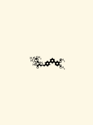 COc1ccc(-c2cccc(-c3ccc(CSCC(NC(=O)OC(C)(C)C)C(=O)O)cc3)c2)cc1OC